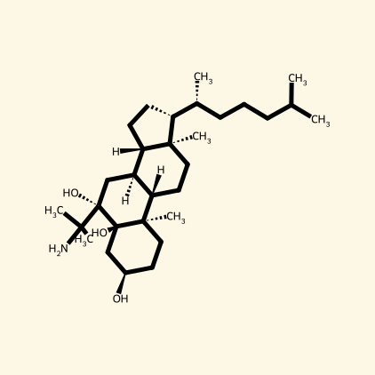 CC(C)CCC[C@@H](C)[C@H]1CC[C@H]2[C@@H]3C[C@](O)(C(C)(C)N)[C@@]4(O)C[C@H](O)CC[C@]4(C)[C@H]3CC[C@]12C